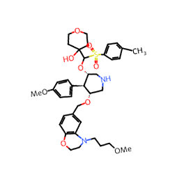 COCCCN1CCOc2ccc(CO[C@H]3CNC[C@@H](OC(C4(O)CCOCC4)S(=O)(=O)c4ccc(C)cc4)[C@@H]3c3ccc(OC)cc3)cc21